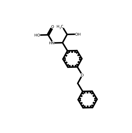 CC(O)C(NC(=O)O)c1ccc(OCc2ccccc2)cc1